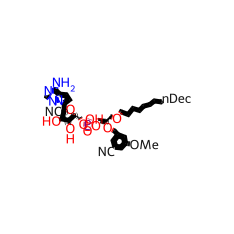 CCCCCCCCCCCCCCCCCCOC[C@H](COP(=O)(O)OC[C@H]1O[C@@](C#N)(c2ccc3c(N)ncnn23)[C@H](O)[C@@H]1O)OCc1cc(C#N)cc(OC)c1